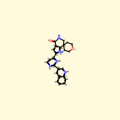 O=C1NCC2(CCOCC2)c2[nH]c(-c3ccnc(-c4cnc5ccccc5c4)n3)cc21